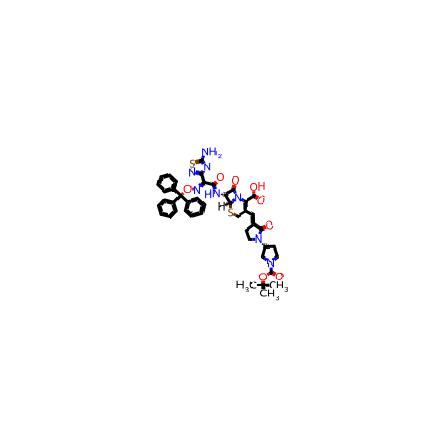 CC(C)(C)OC(=O)N1CC[C@@H](N2CCC(=CC3=C(C(=O)O)N4C(=O)[C@@H](NC(=O)C(=NOC(c5ccccc5)(c5ccccc5)c5ccccc5)c5nsc(N)n5)[C@H]4SC3)C2=O)C1